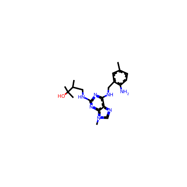 Cc1ccc(N)c(CNc2nc(NCC(C)C(C)(C)O)nc3c2ncn3C)c1